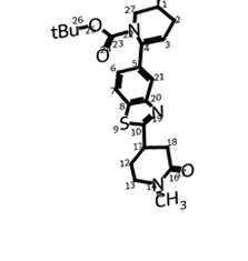 C[C@H]1CC=C(c2ccc3sc(C4CCN(C)C(=O)C4)nc3c2)N(C(=O)OC(C)(C)C)C1